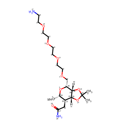 CO[C@@H]1O[C@H](COCCOCCOCCOCCN)[C@@H]2OC(C)(C)O[C@@H]2[C@H]1CC(N)=O